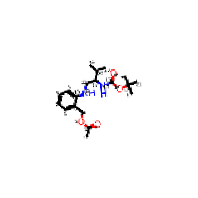 CC(=O)OCc1ccccc1NCC(NC(=O)OC(C)(C)C)C(C)C